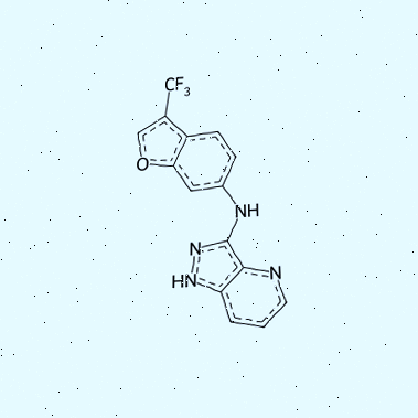 FC(F)(F)c1coc2cc(Nc3n[nH]c4cccnc34)ccc12